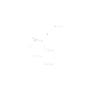 CCC(C)(CC)c1nccc2ccccc12